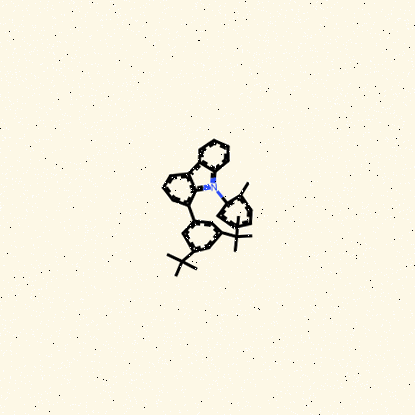 Cc1ccccc1-n1c2ccccc2c2cccc(-c3cc(C(C)(C)C)cc(C(C)(C)C)c3)c21